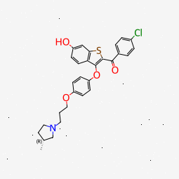 C[C@@H]1CCN(CCCOc2ccc(Oc3c(C(=O)c4ccc(Cl)cc4)sc4cc(O)ccc34)cc2)C1